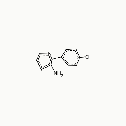 Nc1[c]ccnc1-c1ccc(Cl)cc1